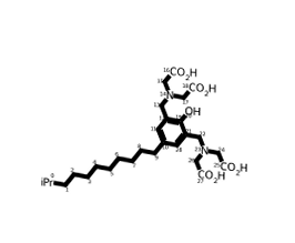 CC(C)CCCCCCCCCc1cc(CN(CC(=O)O)CC(=O)O)c(O)c(CN(CC(=O)O)CC(=O)O)c1